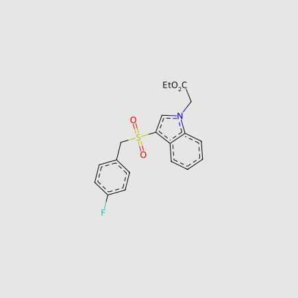 CCOC(=O)Cn1cc(S(=O)(=O)Cc2ccc(F)cc2)c2ccccc21